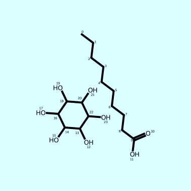 CCCCCCCCCC(=O)O.OC1C(O)C(O)C(O)C(O)C1O